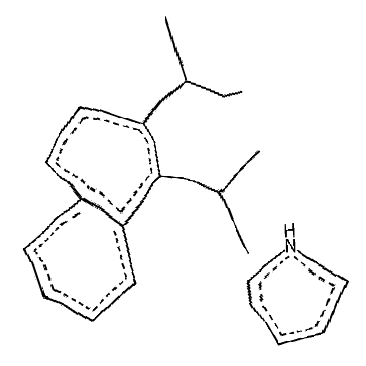 CC(C)c1ccc2ccccc2c1C(C)C.c1cc[nH]c1